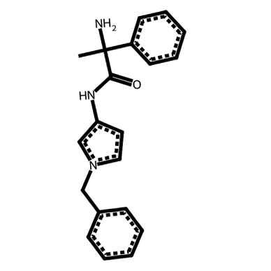 CC(N)(C(=O)Nc1ccn(Cc2ccccc2)c1)c1ccccc1